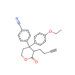 C#CCCC1C(=O)OCCC1(c1ccc(C#N)cc1)c1ccc(OCC)cc1